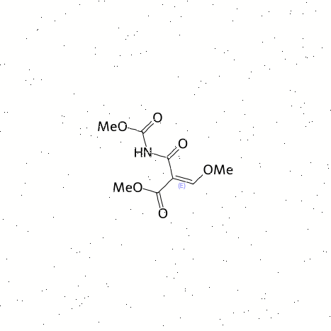 CO/C=C(\C(=O)NC(=O)OC)C(=O)OC